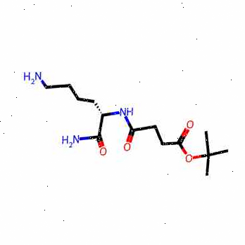 CC(C)(C)OC(=O)CCC(=O)N[C@@H](CCCCN)C(N)=O